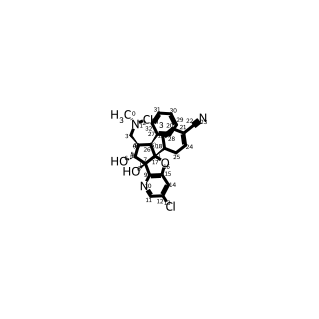 CN(C)C[C@@H]1[C@@H](O)[C@@]2(O)c3ncc(Cl)cc3O[C@@]2(C2C=CC(C#N)=CC2)[C@@H]1c1ccccc1